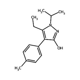 CCc1c(-c2ccc(C)cc2)c(O)nn1C(C)C